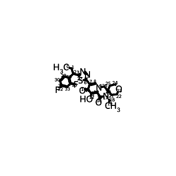 CCC(c1nnc(-c2cn3c(c(O)c2=O)C(=O)N(CC)C2(CCOCC2)C3)s1)c1ccc(F)cc1F